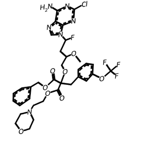 COC(COC(Cc1cccc(OC(F)(F)F)c1)(C(=O)OCCN1CCOCC1)C(=O)OCc1ccccc1)CC(F)n1cnc2c(N)nc(Cl)nc21